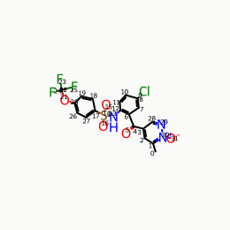 Cc1cc(C(=O)c2cc(Cl)ccc2NS(=O)(=O)c2ccc(OC(F)(F)F)cc2)cn[n+]1[O-]